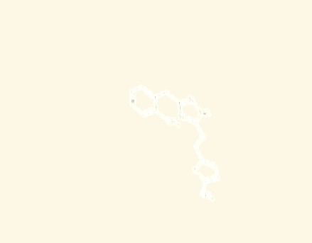 Cc1ccc(CSc2nc(Cc3ccccc3C)n[nH]2)s1